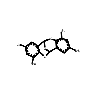 Bc1cc2c(c(C(C)(C)C)c1)OC1OC2Oc2c1cc(B)cc2C(C)(C)C